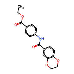 CCOC(=O)c1ccc(NC(=O)c2ccc3c(c2)OCCO3)cc1